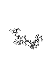 COC1(COc2cc(F)c(C(=O)NS(=O)(=O)C3CC3)cc2C2CC2)CCN(Cc2cc(C)cc(Cl)c2)CC1